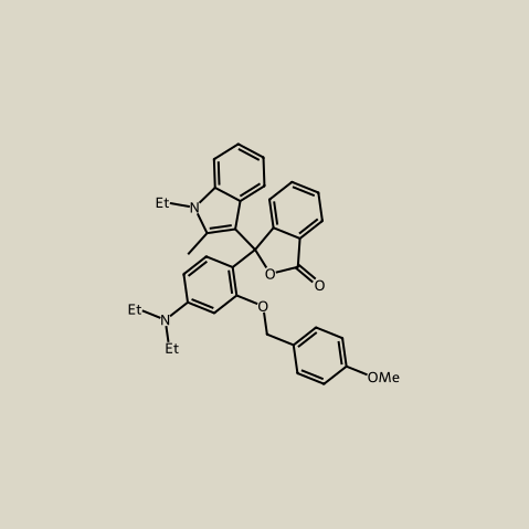 CCN(CC)c1ccc(C2(c3c(C)n(CC)c4ccccc34)OC(=O)c3ccccc32)c(OCc2ccc(OC)cc2)c1